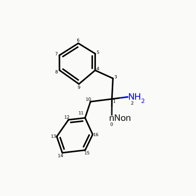 CCCCCCCCCC(N)(Cc1ccccc1)Cc1ccccc1